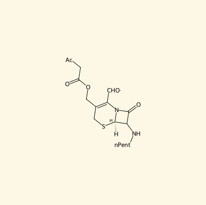 CCCCCNC1C(=O)N2C([C]=O)=C(COC(=O)CC(C)=O)CS[C@H]12